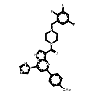 COc1ccc(-c2cc(-n3cncn3)n3ncc(C(=O)N4CCN(Cc5cc(F)cc(F)c5F)CC4)c3n2)cc1